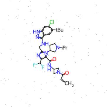 C=CC(=O)N1CC(NC(=O)c2c(C(F)F)nc(CNc3n[nH]c4cc(Cl)c(C(C)(C)C)cc34)n2C2CCN(C(C)C)C2)C1